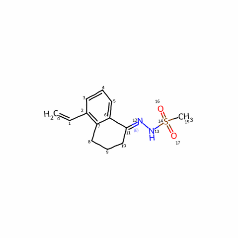 C=Cc1cccc2c1CCC/C2=N\NS(C)(=O)=O